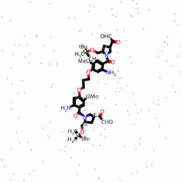 COc1cc(C(=O)N2CC(C(=O)C=O)CC2CO[Si](C)(C)C(C)(C)C)c(N)cc1OCCCOc1cc(N)c(C(=O)N2C[C@H](C(=O)C=O)C[C@H]2CO[Si](C)(C)C(C)(C)C)cc1OC